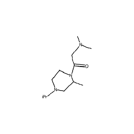 CC(C)N1CCN(C(=O)CN(C)C)C(C)C1